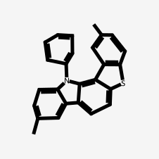 Cc1ccc2sc3ccc4c5cc(C)ccc5n(-c5ccccc5)c4c3c2c1